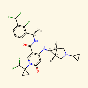 C[C@@H](NC(=O)c1cn(C2(C(F)F)CC2)c(=O)cc1N[C@H]1[C@@H]2CN(C3CC3)C[C@@H]21)c1cccc(C(F)F)c1F